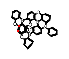 c1ccc(N2c3cccc4c3B(c3c(ccc5c3Oc3cccc6c3B5c3ccccc3O6)O4)c3c2ccc2c3Oc3cccc4c3B2c2ccccc2O4)cc1